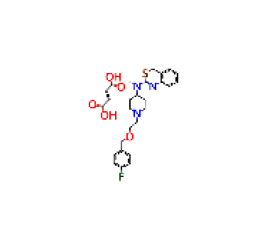 CN(C1=Nc2ccccc2CS1)C1CCN(CCOCc2ccc(F)cc2)CC1.O=C(O)C=CC(=O)O